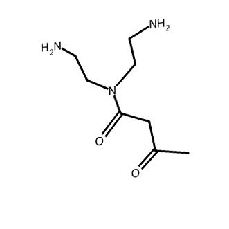 CC(=O)CC(=O)N(CCN)CCN